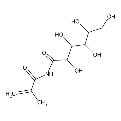 C=C(C)C(=O)NC(=O)C(O)C(O)C(O)C(O)CO